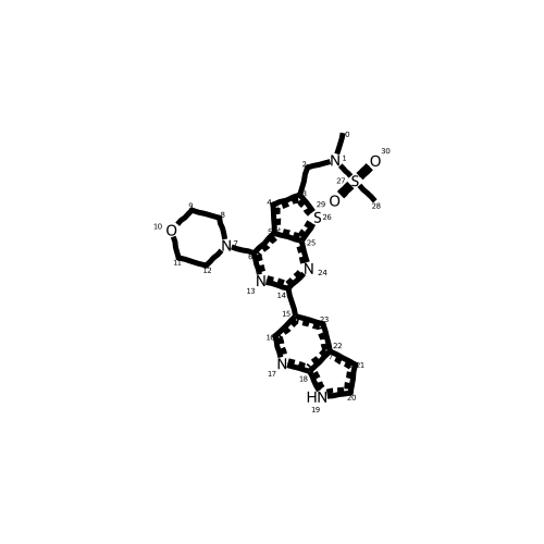 CN(Cc1cc2c(N3CCOCC3)nc(-c3cnc4[nH]ccc4c3)nc2s1)S(C)(=O)=O